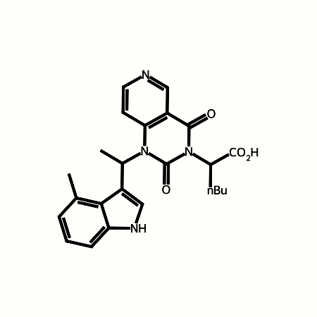 CCCCC(C(=O)O)n1c(=O)c2cnccc2n(C(C)c2c[nH]c3cccc(C)c23)c1=O